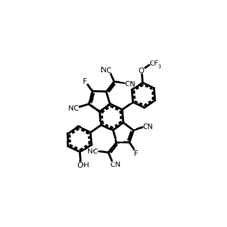 N#CC(C#N)=C1C(F)=C(C#N)c2c1c(-c1cccc(O)c1)c1c(c2-c2cccc(OC(F)(F)F)c2)C(=C(C#N)C#N)C(F)=C1C#N